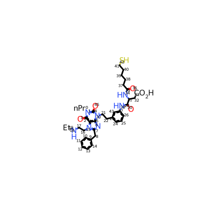 CCCn1c(=O)c2c(nc(Cc3ccccc3)n2CCNCC)n(CCc2cccc(NC(=O)C(CC(=O)O)NC(=O)CCCCCS)c2)c1=O